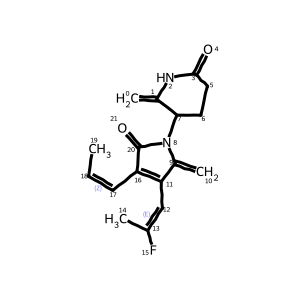 C=C1NC(=O)CCC1N1C(=C)C(/C=C(\C)F)=C(/C=C\C)C1=O